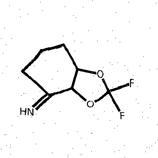 N=C1CCCC2OC(F)(F)OC12